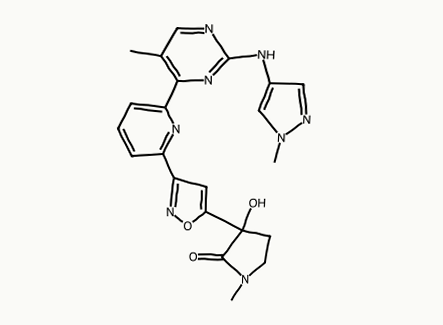 Cc1cnc(Nc2cnn(C)c2)nc1-c1cccc(-c2cc(C3(O)CCN(C)C3=O)on2)n1